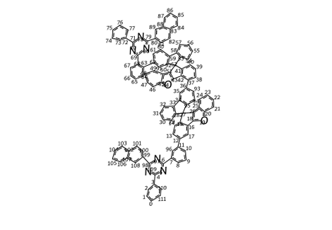 c1ccc(-c2nc(-c3cccc(-c4ccc5c(c4)-c4oc6ccccc6c4C54c5ccccc5-c5cc(-c6cccc7c6-c6oc8ccccc8c6C76c7ccccc7-c7ccc(-c8ccccc8-c8nc(-c9ccccc9)nc(-c9ccc%10ccccc%10c9)n8)cc76)ccc54)c3)nc(-c3ccc4ccccc4c3)n2)cc1